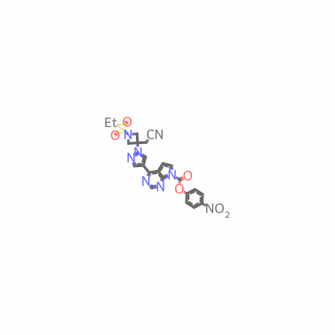 CCS(=O)(=O)N1CC(CC#N)(n2cc(-c3ncnc4c3ccn4C(=O)Oc3ccc([N+](=O)[O-])cc3)cn2)C1